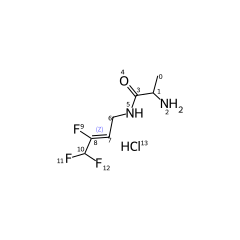 CC(N)C(=O)NC/C=C(\F)C(F)F.Cl